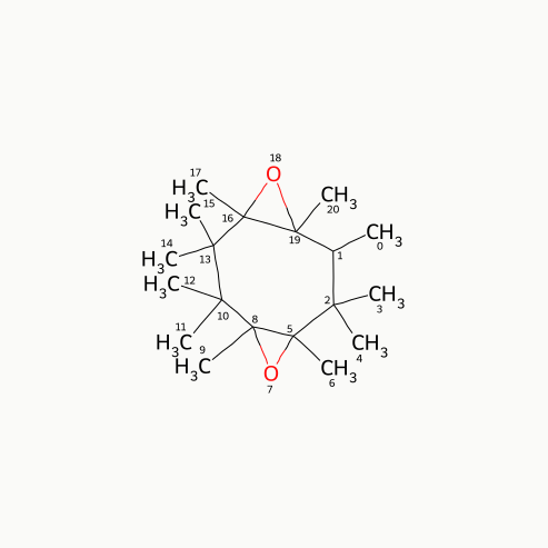 CC1C(C)(C)C2(C)OC2(C)C(C)(C)C(C)(C)C2(C)OC12C